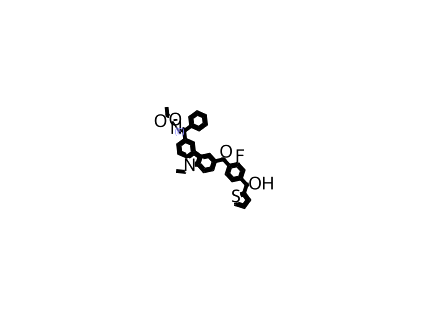 CCn1c2ccc(C(=O)c3ccc(C(O)c4cccs4)cc3F)cc2c2cc(/C(=N/OC(C)=O)c3ccccc3)ccc21